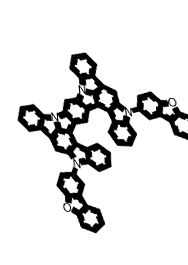 c1ccc2c(c1)oc1ccc(-n3c4ccccc4c4c5c6cc7c8c9c%10ccccc%10n(-c%10ccc%11oc%12ccccc%12c%11c%10)c9cc9c%10ccccc%10n(c7cc6n6c7ccccc7c(cc43)c56)c98)cc12